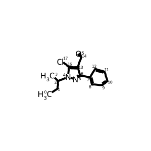 CCC(C)n1nc(-c2ccccc2)c(C=O)c1Cl